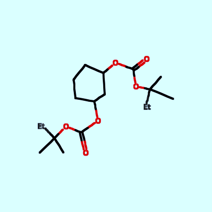 CCC(C)(C)OC(=O)OC1CCCC(OC(=O)OC(C)(C)CC)C1